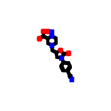 N#Cc1ccc(N2CC(CN3CCNC(C(=O)O)C3)OC2=O)cc1